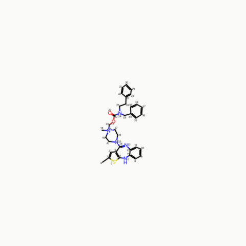 Cc1cc2c(s1)Nc1ccccc1N=C2N1CC[N+](C)(COC(=O)N(CCc2ccccc2)Cc2ccccc2)CC1